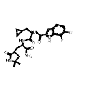 CC1(C)CC(CC(NC(=O)C(CC2CC2)NC(=O)c2cc3ccc(Cl)c(F)c3[nH]2)C(N)=O)C(=O)N1